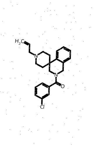 C=CCN1CCC2(CC1)CN(C(=O)c1cccc(Cl)c1)Cc1ccccc12